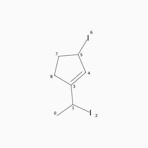 CC(I)C1=CC(I)CC1